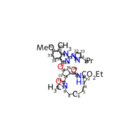 CCOC(=O)C12CC1C=CCCCCN(C)C(=O)C1CC(Oc3nc(-n4ccc(C(C)C)n4)nc4c(C)c(OC)ccc34)CC1C(=O)N2